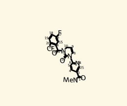 CNC(=O)c1ccc(N2C=CCN(C(=O)c3cc(F)ccc3C(F)(F)F)C2=O)nc1